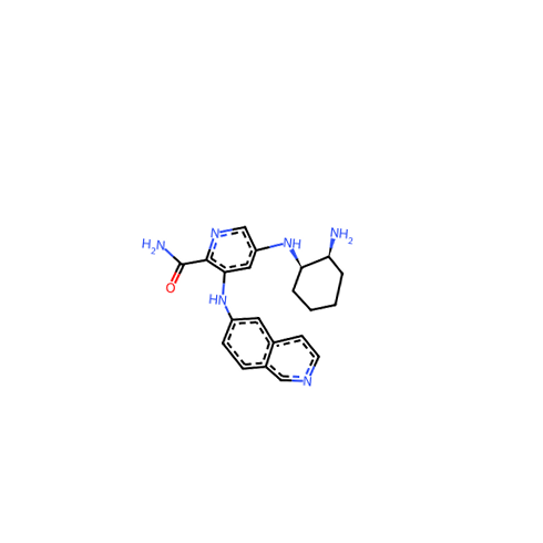 NC(=O)c1ncc(N[C@@H]2CCCC[C@@H]2N)cc1Nc1ccc2cnccc2c1